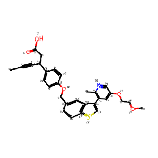 CC#CC(CC(=O)O)c1ccc(OCc2ccc3scc(-c4cc(OCCOC)cnc4C)c3c2)cc1